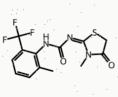 Cc1cccc(C(F)(F)F)c1NC(=O)N=C1SCC(=O)N1C